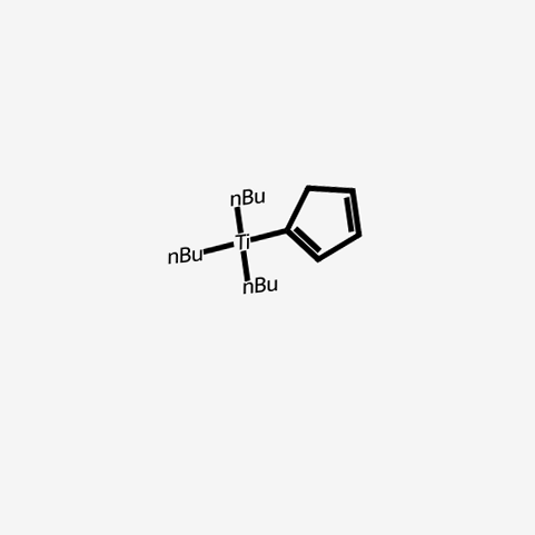 CCC[CH2][Ti]([CH2]CCC)([CH2]CCC)[C]1=CC=CC1